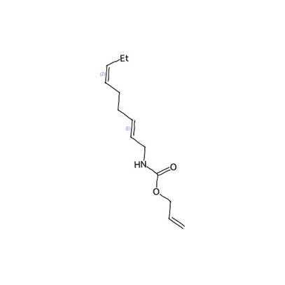 C=CCOC(=O)NC/C=C/CC/C=C\CC